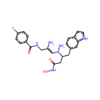 N/C(=C\N(N)C(CC(=O)NO)Cc1ccc2cc[nH]c2c1)CNC(=O)c1ccc(F)cc1